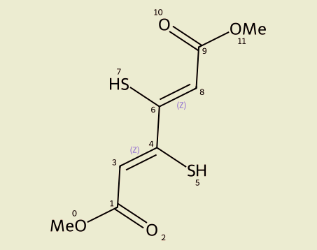 COC(=O)/C=C(S)/C(S)=C/C(=O)OC